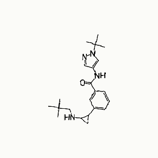 CC(C)(C)CNC1CC1c1cccc(C(=O)Nc2cnn(C(C)(C)C)c2)c1